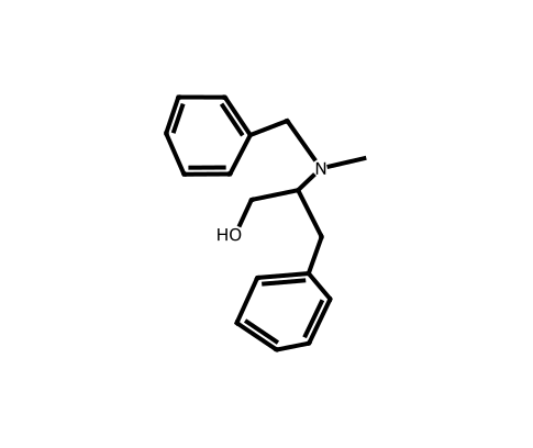 CN(Cc1ccccc1)C(CO)Cc1ccccc1